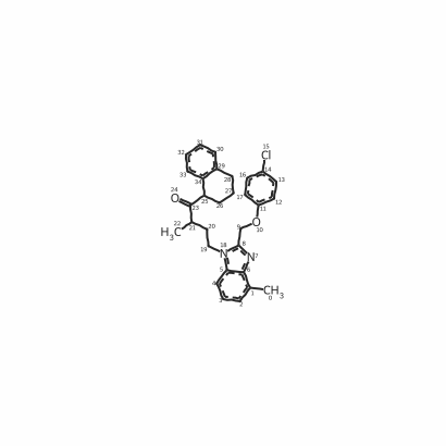 Cc1cccc2c1nc(COc1ccc(Cl)cc1)n2CCC(C)C(=O)C1CCCc2ccccc21